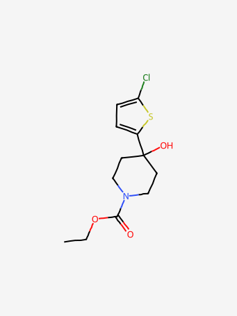 CCOC(=O)N1CCC(O)(c2ccc(Cl)s2)CC1